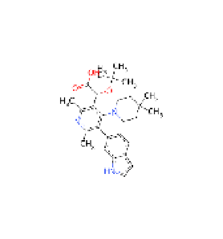 Cc1nc(C)c(C(OC(C)(C)C)C(=O)O)c(N2CCC(C)(C)CC2)c1-c1ccc2cc[nH]c2c1